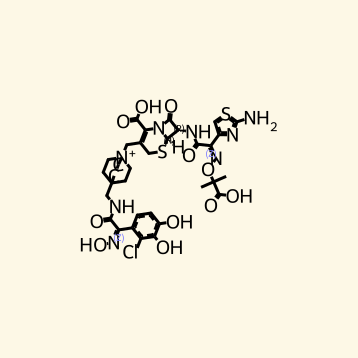 CC(C)(O/N=C(\C(=O)N[C@@H]1C(=O)N2C(C(=O)O)=C(C[N+]34CCC(CNC(=O)/C(=N\O)c5ccc(O)c(O)c5Cl)(CC3)CC4)CS[C@H]12)c1csc(N)n1)C(=O)O